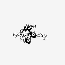 O=C(O)c1cc(N2CCC[C@@H]2C(=O)NCC(F)(F)F)nc(C2CNc3ncc(Cl)cc32)n1